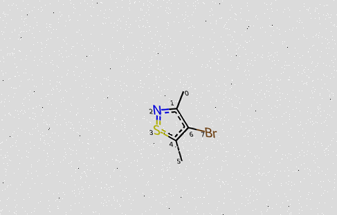 Cc1nsc(C)c1Br